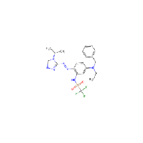 CCN(Cc1ccccc1)c1ccc(N=Nc2nncn2C(C)C)c(NS(=O)(=O)C(F)(F)F)c1